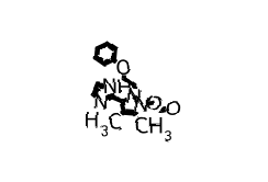 CC1=C(C)N(OC=O)N(CCOc2ccccc2)C1c1ncc[nH]1